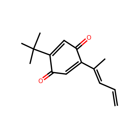 C=C/C=C(\C)C1=CC(=O)C(C(C)(C)C)=CC1=O